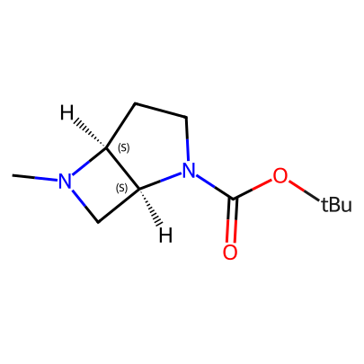 CN1C[C@H]2[C@@H]1CCN2C(=O)OC(C)(C)C